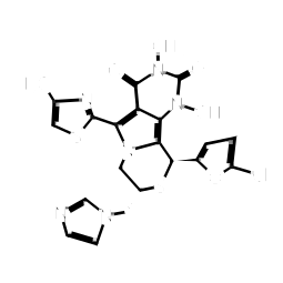 Cc1csc(-c2c3c(=O)n(C)c(=O)n(C)c3c3n2C[C@@H](Cn2ccnc2)S[C@@H]3c2ccc(Cl)o2)n1